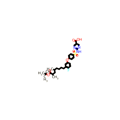 CC(CCCCc1cc(Oc2ccc(S(=O)(=O)Nc3ncc(C(=O)O)cn3)cc2)ccc1F)CC(C)C(=O)OC(C)(C)C